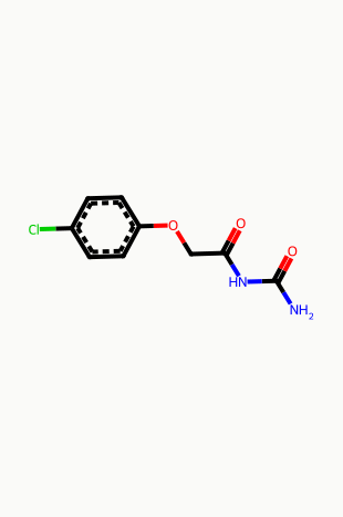 NC(=O)NC(=O)COc1ccc(Cl)cc1